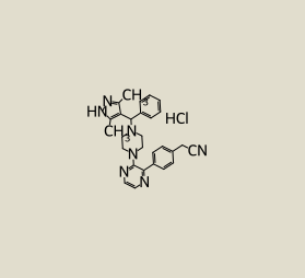 Cc1n[nH]c(C)c1C(c1ccccc1)N1CCN(c2nccnc2-c2ccc(CC#N)cc2)CC1.Cl